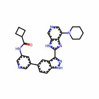 O=C(Nc1cncc(-c2ccc3[nH]nc(-c4nc5c(N6CCCCC6)cncc5[nH]4)c3c2)c1)C1CCC1